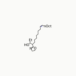 CCCCCCCC/C=C\CCCCCCCC(C1=NCCO1)C(O)CC